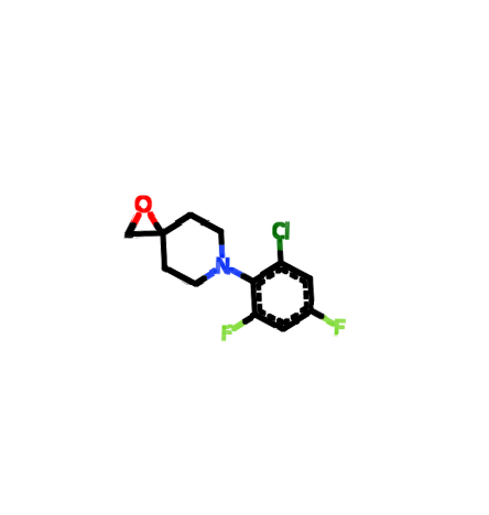 Fc1cc(F)c(N2CCC3(CC2)CO3)c(Cl)c1